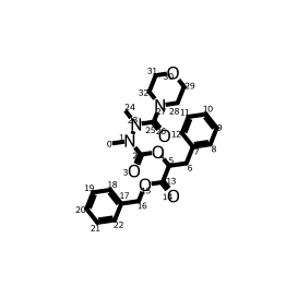 CN(C(=O)OC(Cc1ccccc1)C(=O)OCc1ccccc1)N(C)C(=O)N1CCOCC1